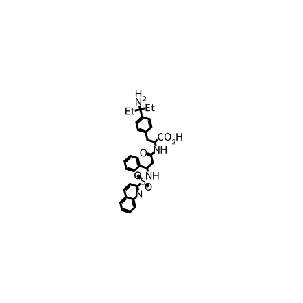 CCC(N)(CC)c1ccc(CC(NC(=O)CC(NS(=O)(=O)c2ccc3ccccc3n2)c2ccccc2)C(=O)O)cc1